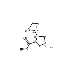 C=CC(=O)N1C[C@@H](C)C[C@@H]1[C@H]1CCO1